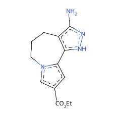 CCOC(=O)c1cc2n(c1)CCCc1c(N)n[nH]c1-2